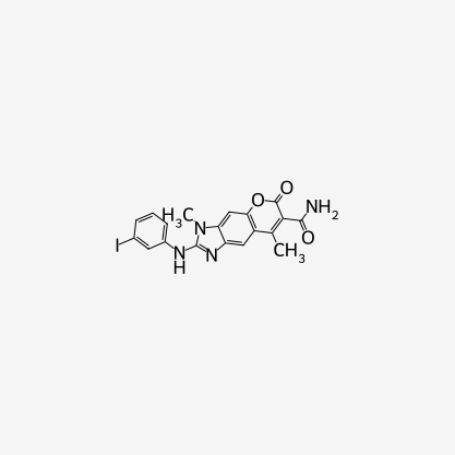 Cc1c(C(N)=O)c(=O)oc2cc3c(cc12)nc(Nc1cccc(I)c1)n3C